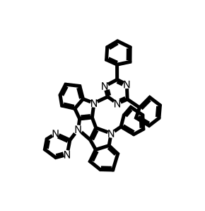 c1ccc(-c2nc(-c3ccccc3)nc(-n3c4ccccc4c4c3c3c(c5ccccc5n3-c3ccccc3)n4-c3ncccn3)n2)cc1